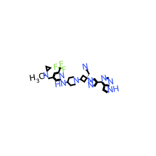 CN(Cc1cc(NC2CCN([C@H]3C[C@@](CC#N)(n4cc(-c5ncnc6[nH]ccc56)cn4)C3)CC2)nc(C(F)(F)F)c1)C1CC1